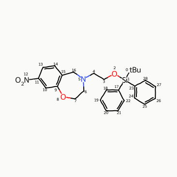 CC(C)(C)[Si](OCCN1CCOc2cc([N+](=O)[O-])ccc2C1)(c1ccccc1)c1ccccc1